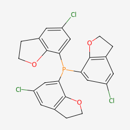 Clc1cc2c(c(P(c3cc(Cl)cc4c3OCC4)c3cc(Cl)cc4c3OCC4)c1)OCC2